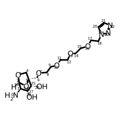 N[C@H]1[C@H]2OC[C@](COCCOCCOCCOCCn3ccnn3)(O2)[C@H](O)[C@@H]1O